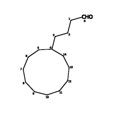 O=CCCCC1CCCCCCCCCC1